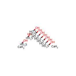 O=S(=O)(O)O.O=S(=O)(O)O.O=S(=O)(O)O.O=S(=O)(O)O.O=S(=O)(O)O.O=S(=O)(O)O.O=S(=O)(O)O.O=S(=O)(O)O.O=S(=O)(O)O.[CaH2].[CaH2]